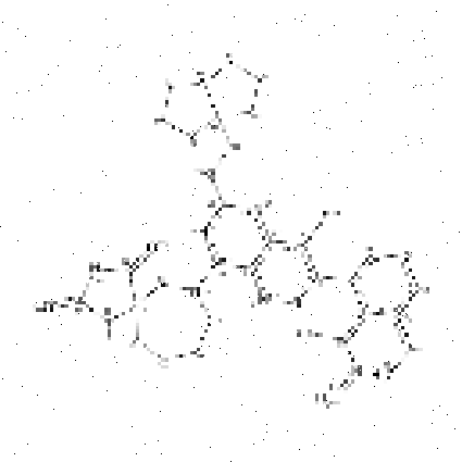 C=N/C(F)=c1/c(-c2nnc3c(N4CCCCC5(C4)NC(=O)NC5=O)nc(OCC45CCCN4CCC5)nc3c2F)ccc/c1=C/C